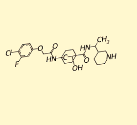 CC(NC(=O)C12CCC(NC(=O)COc3ccc(Cl)c(F)c3)(CC1)CC2O)C1CCCNC1